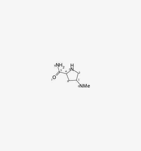 CNC1CNC(C(N)=O)C1